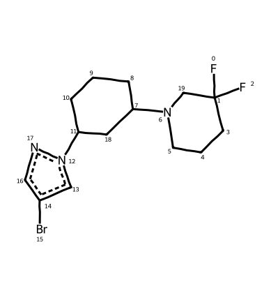 FC1(F)CCCN(C2CCCC(n3cc(Br)cn3)C2)C1